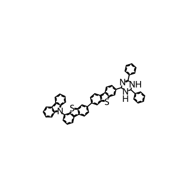 c1ccc(C2=NC(c3ccc4c(c3)sc3cc(-c5ccc6c(c5)sc5c(-n7c8ccccc8c8ccccc87)cccc56)ccc34)NC(c3ccccc3)N2)cc1